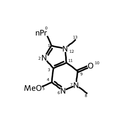 CCCc1nc2c(OC)nn(C)c(=O)c2n1C